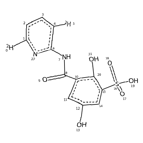 [2H]c1ccc([2H])c(NC(=O)c2cc(O)cc(S(=O)(=O)O)c2O)n1